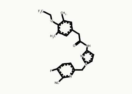 Cc1cc(CC(=O)Nc2ccn(Cc3ccc(F)c(C#N)n3)n2)cc(C)c1OCC(F)(F)F